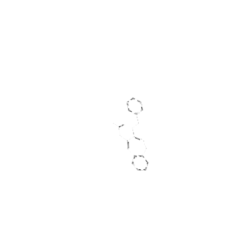 O=C(O)CC1=Cc2ccccc2CN=C1CCc1ccccc1